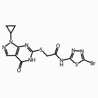 O=C(CSc1nc2c(cnn2C2CC2)c(=O)[nH]1)Nc1nnc(Br)s1